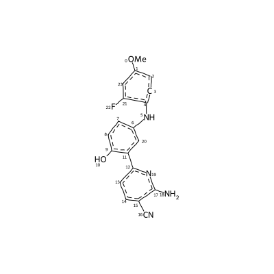 COc1ccc(Nc2ccc(O)c(-c3ccc(C#N)c(N)n3)c2)c(F)c1